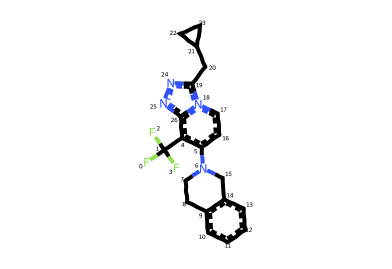 FC(F)(F)c1c(N2CCc3ccccc3C2)ccn2c(CC3CC3)nnc12